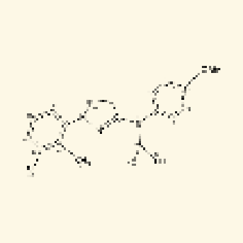 COc1ccc(N(C2=NN(c3cccc(Cl)c3C)NO2)C2NO2)cc1